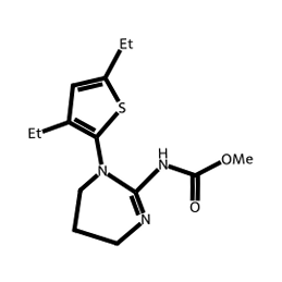 CCc1cc(CC)c(N2CCCN=C2NC(=O)OC)s1